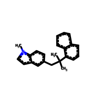 Cn1ccc2cc(CC(C)(C)c3cccc4ccccc34)ccc21